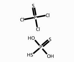 OP(O)(=S)S.S=P(Cl)(Cl)Cl